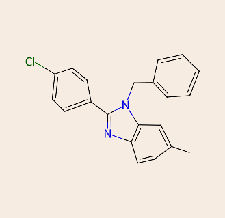 Cc1ccc2nc(-c3ccc(Cl)cc3)n(Cc3ccccc3)c2c1